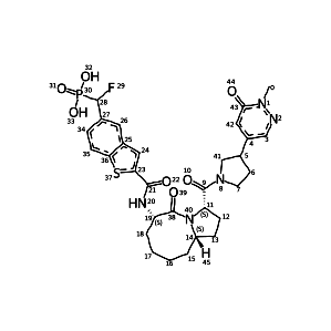 Cn1ncc(C2CCN(C(=O)[C@@H]3CC[C@@H]4CCCC[C@H](NC(=O)c5cc6cc(C(F)P(=O)(O)O)ccc6s5)C(=O)N43)C2)cc1=O